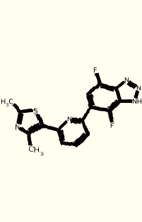 Cc1nc(C)c(-c2cccc(-c3cc(F)c4nn[nH]c4c3F)n2)s1